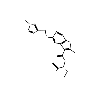 Cc1oc2ccc(OCc3cnn(C)c3)cc2c1C(=O)N[C@@H](CO)C(N)=O